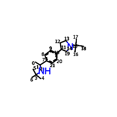 CC(NC(C)(C)C)c1ccc(C2CCN(C(C)(C)C)C2)cc1